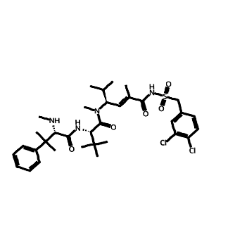 CN[C@H](C(=O)N[C@H](C(=O)N(C)[C@H](/C=C(\C)C(=O)NS(=O)(=O)Cc1ccc(Cl)c(Cl)c1)C(C)C)C(C)(C)C)C(C)(C)c1ccccc1